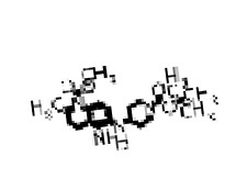 COC(=O)N1c2ccc(NC3CCN(C(=O)OC(C)(C)C)CC3)c(N)c2CC[C@@H]1C